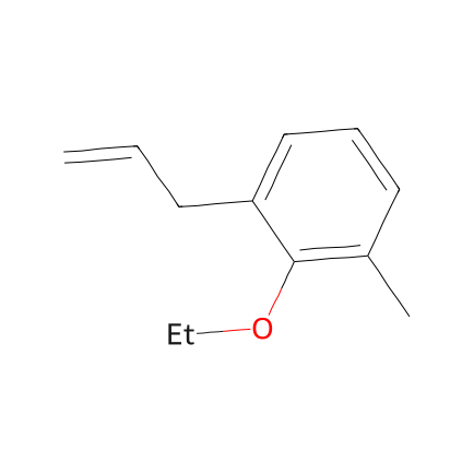 C=CCc1cccc(C)c1OCC